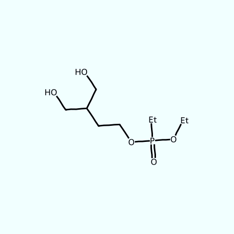 CCOP(=O)(CC)OCCC(CO)CO